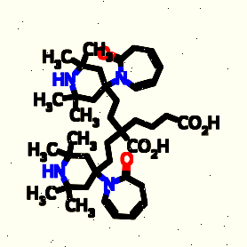 CC1(C)CC(CCC(CCCC(=O)O)(CCC2(N3C=CC=CCC3=O)CC(C)(C)NC(C)(C)C2)C(=O)O)(N2C=CC=CCC2=O)CC(C)(C)N1